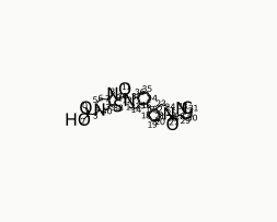 O=C(O)CN1CCc2nc(C(=O)N3CCc4c(-c5cccc6c5CCN6C(=O)c5ccccn5)cccc43)sc2C1